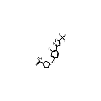 O=C(O)N1CC[C@@H](Oc2ccc(-c3noc(C(F)(F)F)n3)c(F)c2)C1